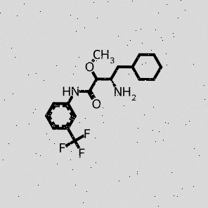 COC(C(=O)Nc1cccc(C(F)(F)F)c1)[C@H](N)CC1CCCCC1